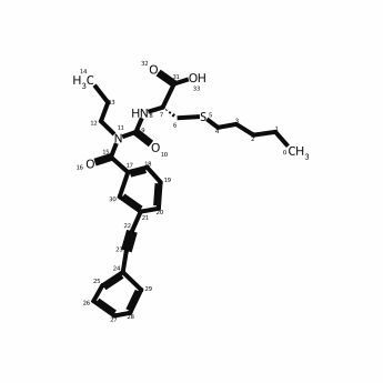 CCCCCSC[C@H](NC(=O)N(CCC)C(=O)c1cccc(C#Cc2ccccc2)c1)C(=O)O